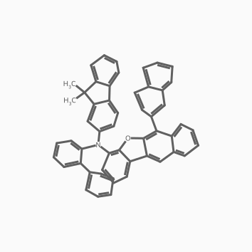 CC1(C)c2ccccc2-c2ccc(N(c3ccccc3-c3ccccc3)c3cccc4c3oc3c(-c5ccc6ccccc6c5)c5ccccc5cc34)cc21